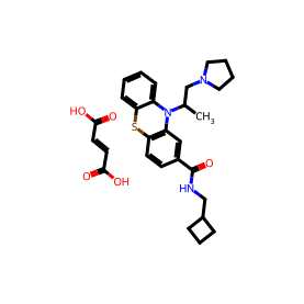 CC(CN1CCCC1)N1c2ccccc2Sc2ccc(C(=O)NCC3CCC3)cc21.O=C(O)C=CC(=O)O